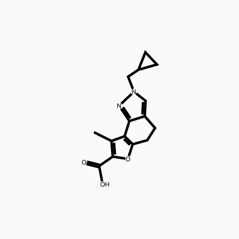 Cc1c(C(=O)O)oc2c1-c1nn(CC3CC3)cc1CC2